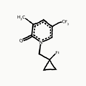 CCC1(Cn2cc(C(F)(F)F)cc(C)c2=O)CC1